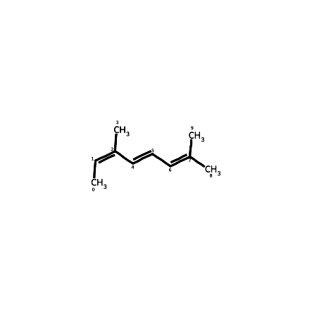 CC=C(C)C=CC=C(C)C